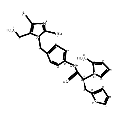 CCCCc1nc(Cl)c(CC(=O)O)n1Cc1ccc(NC(=O)[C@H](Cc2cccs2)n2cccc2C(=O)O)cc1